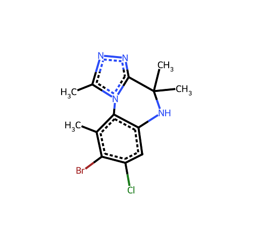 Cc1c(Br)c(Cl)cc2c1-n1c(C)nnc1C(C)(C)N2